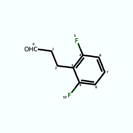 O=CCCc1c(F)cccc1F